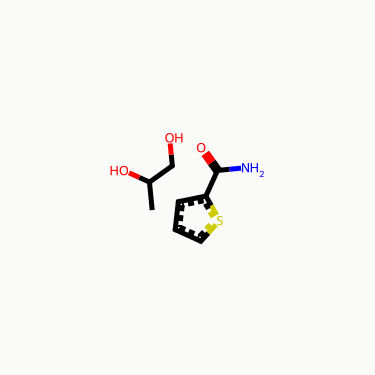 CC(O)CO.NC(=O)c1cccs1